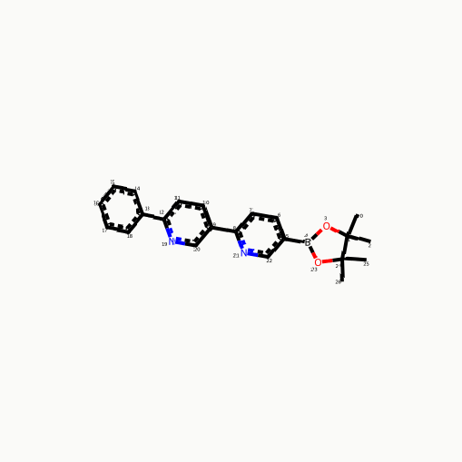 CC1(C)OB(c2ccc(-c3ccc(-c4ccccc4)nc3)nc2)OC1(C)C